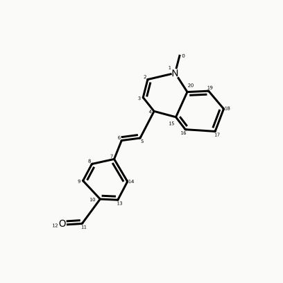 CN1C=CC(C=Cc2ccc(C=O)cc2)c2ccccc21